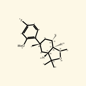 COc1cc(F)ccc1[C@@]1(C)C[C@@H]2[C@@H]([C@@H](C)C1)N(C)OC2(C)C